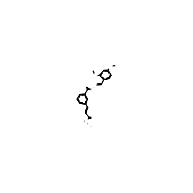 COc1ccc(/C=N/NC(=O)c2cccc(/C=C/C(=O)NO)c2)c(OC)c1